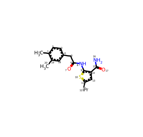 Cc1ccc(CC(=O)Nc2sc(C(C)C)cc2C(N)=O)cc1C